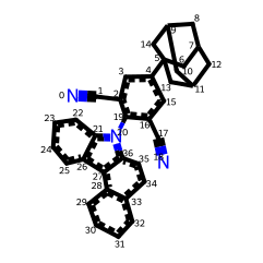 N#Cc1cc(C23CC4CC(CC(C4)C2)C3)cc(C#N)c1-n1c2ccccc2c2c3ccccc3ccc21